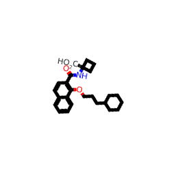 O=C(NC1(C(=O)O)CCC1)c1ccc2ccccc2c1OCCCC1CCCCC1